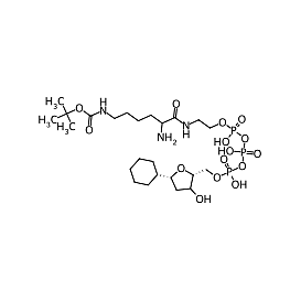 CC(C)(C)OC(=O)NCCCCC(N)C(=O)NCCOP(=O)(O)OP(=O)(O)OP(=O)(O)OC[C@H]1O[C@@H](C2CCCCC2)CC1O